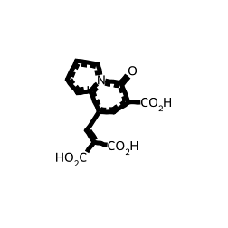 O=C(O)C(=Cc1cc(C(=O)O)c(=O)n2ccccc12)C(=O)O